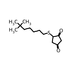 CC(C)(C)CCCCCSC1CC(=O)CC1=O